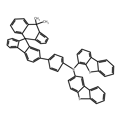 CC1(C)c2ccccc2C2(c3ccccc3-c3ccc(-c4ccc(N(c5ccc6sc7ccccc7c6c5)c5cccc6c5sc5ccccc56)cc4)cc32)c2ccccc21